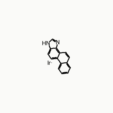 [Ir].c1ccc2c(c1)ccc1c2ccc2[nH]cnc21